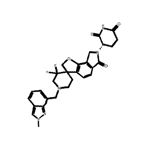 Cn1cc2cccc(CN3CCC4(COc5c4ccc4c5CN([C@H]5CCC(=O)NC5=O)C4=O)C(F)(F)C3)c2n1